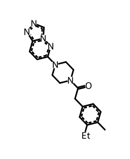 CCc1cc(CC(=O)N2CCN(c3ccc4nncn4n3)CC2)ccc1C